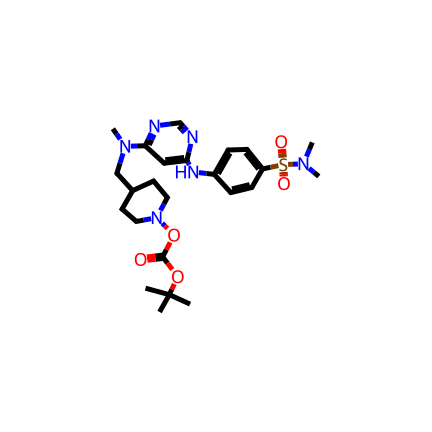 CN(CC1CCN(OC(=O)OC(C)(C)C)CC1)c1cc(Nc2ccc(S(=O)(=O)N(C)C)cc2)ncn1